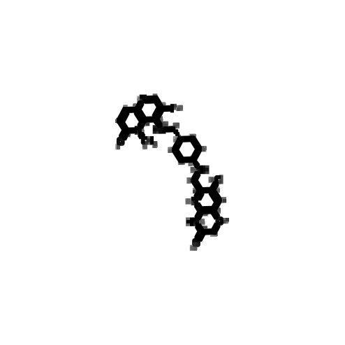 Cn1c(=O)ccc2ncc(F)c(NC[C@H]3CC[C@H](NCc4nc5c(cc4Cl)OCC(=O)N5)CC3)c21